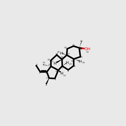 C/C=C1/[C@H](C)C[C@H]2[C@@H]3CC[C@@H]4C[C@](C)(O)CC[C@@H]4[C@H]3CC[C@]12C